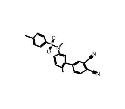 Cc1ccc(S(=O)(=O)N(C)c2ccc(C)c(-c3ccc(C#N)c(C#N)c3)c2)cc1